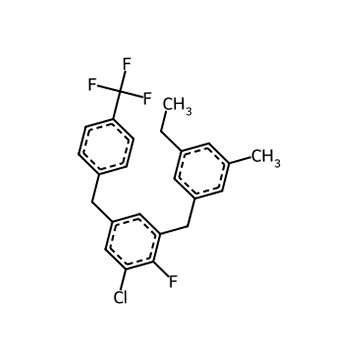 CCc1cc(C)cc(Cc2cc(Cc3ccc(C(F)(F)F)cc3)cc(Cl)c2F)c1